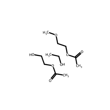 CC(=O)OCCO.CCO.COCCOC(C)=O